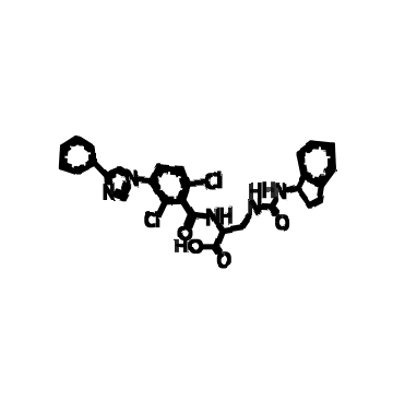 O=C(NCC(NC(=O)c1c(Cl)ccc(-n2cnc(-c3ccccc3)c2)c1Cl)C(=O)O)NC1CCc2ccccc21